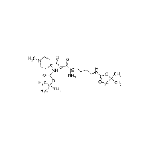 CN1CCC(NC(=O)OC(C)(C)C)(C(=O)OC(=O)[C@H](N)CCCCNC(=O)OC(C)(C)C)CC1